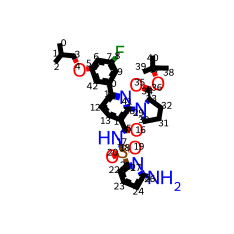 CC(C)COc1cc(F)cc(-c2ccc(C(=O)NS(=O)(=O)c3cccc(N)n3)c(N3CCC[C@@H]3C(=O)OC(C)(C)C)n2)c1